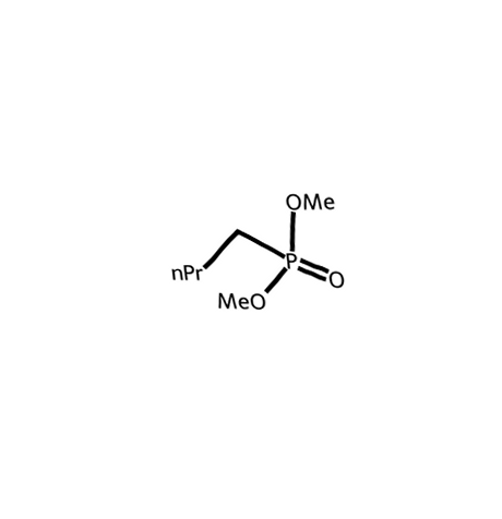 [CH2]CCCP(=O)(OC)OC